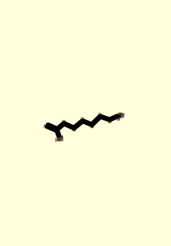 C=C(Cl)CCCCCCC(C)C